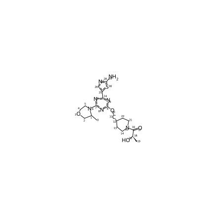 CC1COCCN1c1nc(OCC2CCN(C(=O)[C@@H](C)O)CC2)nc(-c2cnc(N)s2)n1